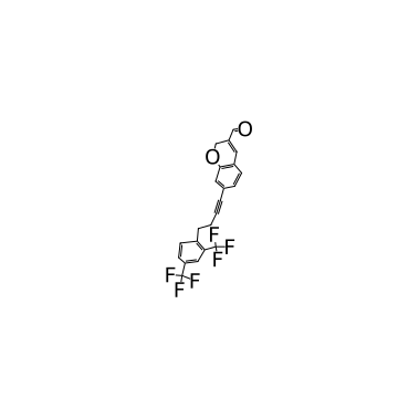 O=CC1=Cc2ccc(C#CCCc3ccc(C(F)(F)F)cc3C(F)(F)F)cc2OC1